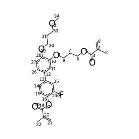 C=C(C)C(=O)OCCCOc1cc(-c2ccc(OC(=O)C(=C)C)c(F)c2)ccc1OCCCOC